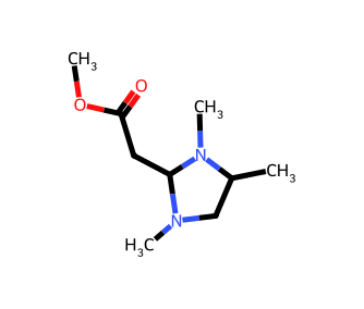 COC(=O)CC1N(C)CC(C)N1C